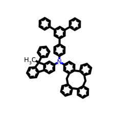 CC1(c2ccccc2)c2ccccc2-c2ccc(N(c3ccc(-c4cc(-c5ccccc5)cc(-c5ccccc5)c4)cc3)c3ccc4c(c3)Cc3ccccc3-c3ccccc3Cc3ccccc3-4)cc21